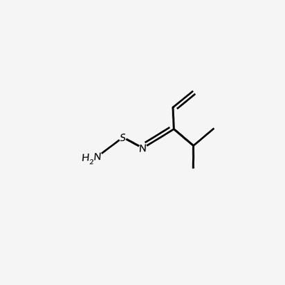 C=C/C(=N\SN)C(C)C